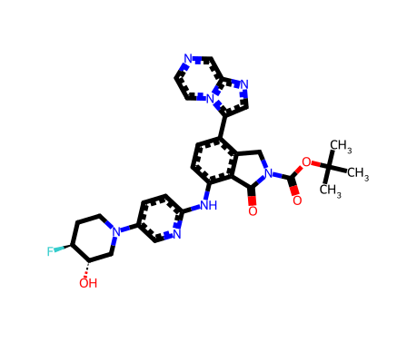 CC(C)(C)OC(=O)N1Cc2c(-c3cnc4cnccn34)ccc(Nc3ccc(N4CC[C@H](F)[C@@H](O)C4)cn3)c2C1=O